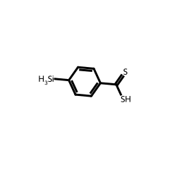 [SiH3]c1ccc(C(=S)S)cc1